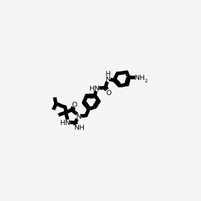 CC(C)CC1(C)NC(=N)N(Cc2ccc(NC(=O)NC3=CC=C(N)CC3)cc2)C1=O